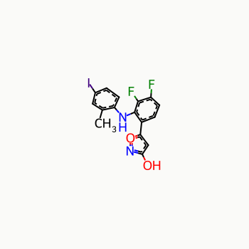 Cc1cc(I)ccc1Nc1c(-c2cc(O)no2)ccc(F)c1F